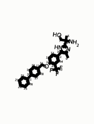 Cc1nc(C(C)(N)CO)[nH]c1-c1ccc(OCc2ccc(-c3ccccc3)cc2)c(C(F)(F)F)c1